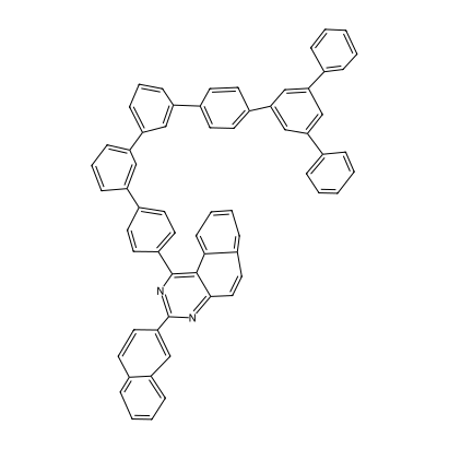 c1ccc(-c2cc(-c3ccccc3)cc(-c3ccc(-c4cccc(-c5cccc(-c6ccc(-c7nc(-c8ccc9ccccc9c8)nc8ccc9ccccc9c78)cc6)c5)c4)cc3)c2)cc1